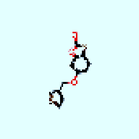 O=c1oc2cc(OCc3ccsc3)ccc2s1